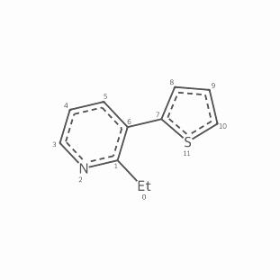 CCc1ncccc1-c1cccs1